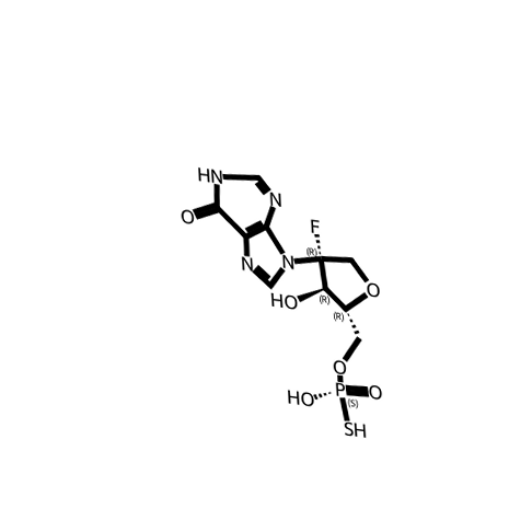 O=c1[nH]cnc2c1ncn2[C@@]1(F)CO[C@H](CO[P@](=O)(O)S)[C@H]1O